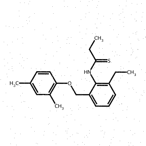 CCC(=S)Nc1c(CC)cccc1COc1ccc(C)cc1C